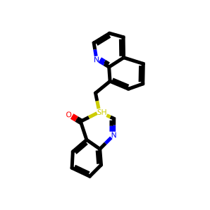 O=C1c2ccccc2N=C[SH]1Cc1cccc2cccnc12